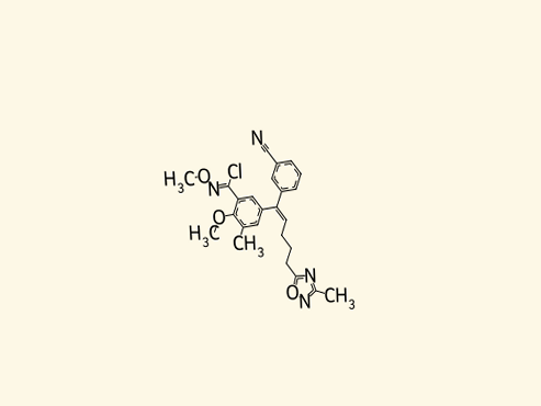 CO/N=C(\Cl)c1cc(/C(=C\CCCc2nc(C)no2)c2cccc(C#N)c2)cc(C)c1OC